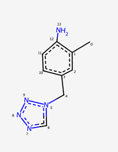 Cc1cc(Cn2cnnn2)ccc1N